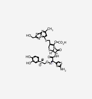 Cc1cc(SCC2=C(OC(=O)O)N3C(=O)[C@@H](NC(=O)/C(=N\OCS(=O)(=O)c4ccc(O)c(O)c4)c4csc(N)n4)[C@H]3SC2)n2nc(CO)nc2n1